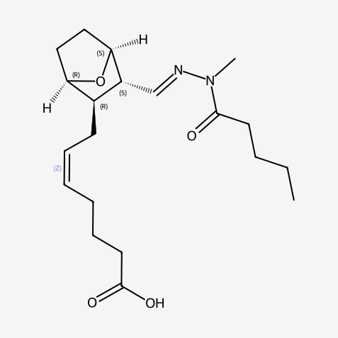 CCCCC(=O)N(C)N=C[C@@H]1[C@@H](C/C=C\CCCC(=O)O)[C@H]2CC[C@@H]1O2